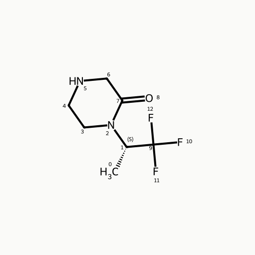 C[C@H](N1CCNCC1=O)C(F)(F)F